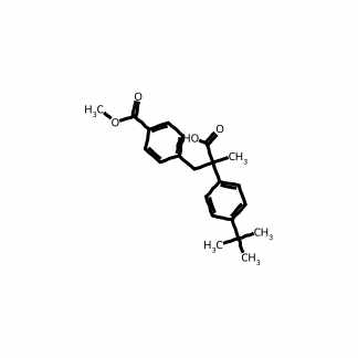 COC(=O)c1ccc(CC(C)(C(=O)O)c2ccc(C(C)(C)C)cc2)cc1